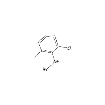 Cc1cccc(Cl)c1NC(C)C